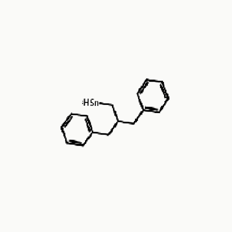 [SnH][CH2]C(Cc1ccccc1)Cc1ccccc1